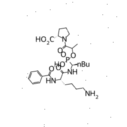 CCCC[C@@H](NC(=O)[C@H](CCCCN)NC(=O)c1ccccc1)P(=O)(O)OC(C)C(=O)N1CCC[C@H]1C(=O)O